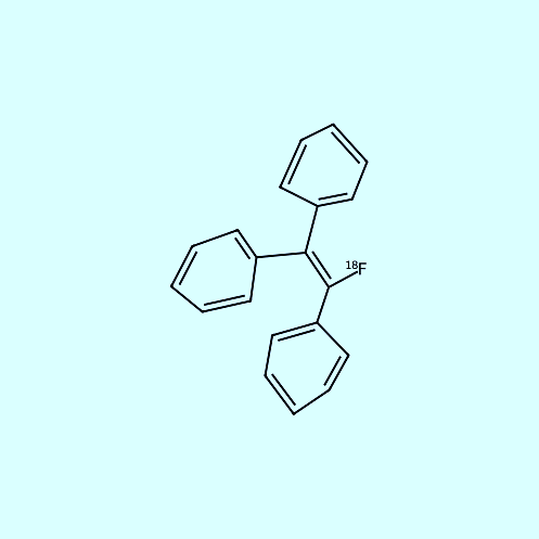 [18F]C(=C(c1ccccc1)c1ccccc1)c1ccccc1